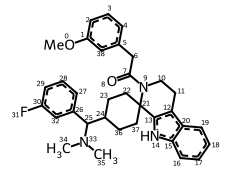 COc1cccc(CC(=O)N2CCc3c([nH]c4ccccc34)C23CCC(C(c2cccc(F)c2)N(C)C)CC3)c1